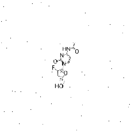 CC(=O)Nc1ccn([C@@H]2O[C@H](CO)CC2F)c(=O)n1